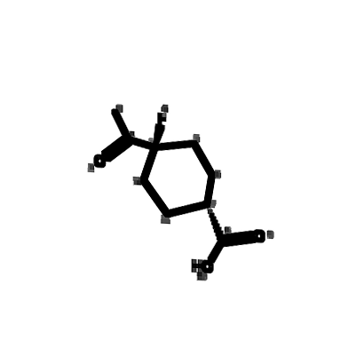 CC(=O)[C@]1(F)CC[C@H](C(=O)O)CC1